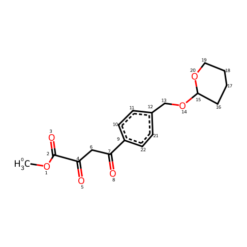 COC(=O)C(=O)CC(=O)c1ccc(COC2CCCCO2)cc1